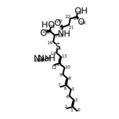 CC(C)=CCC/C(C)=C/CC/C(C)=C/CSCC(NC(=O)CCC(=O)O)C(=O)O.[NaH].[NaH]